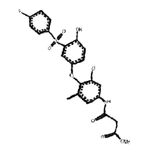 COC(=O)CC(=O)Nc1cc(C)c(Oc2ccc(O)c(S(=O)(=O)c3ccc(F)cc3)c2)c(Cl)c1